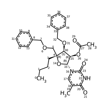 CCCC[C@]1(COCc2ccccc2)O[C@@H](n2cc(C)c(=O)[nH]c2=O)[C@H](OC(C)=O)[C@@H]1OCc1ccccc1